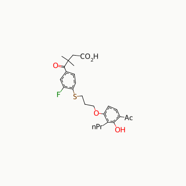 CCCc1c(OCCCSc2ccc(C(=O)C(C)(C)CC(=O)O)cc2F)ccc(C(C)=O)c1O